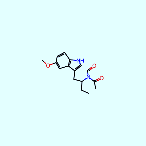 CCC(Cc1c[nH]c2ccc(OC)cc12)N(C=O)C(C)=O